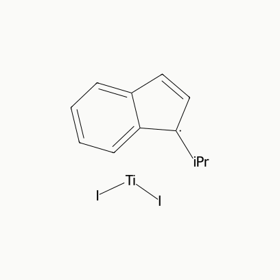 CC(C)[C]1C=Cc2ccccc21.[I][Ti][I]